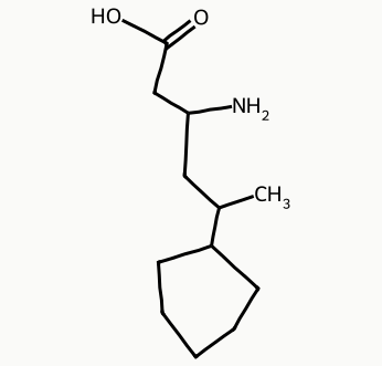 CC(CC(N)CC(=O)O)C1CCCCC1